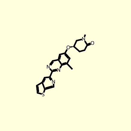 Cc1cc(O[C@@H]2CCC(=O)N(C)C2)cc2cnc(-c3cc4ccsc4cn3)nc12